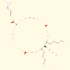 C=C=C=C=C1C(CCCCC)CCOC(=O)CCCCCCCC(C(=O)OCCCN(C)C)CCCCCCCC(=O)OCCC1CCCCC